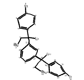 [Li][C](CC(C)CC)(c1ccc(CC)cc1)c1cccc([C]([Li])(CC(C)CC)c2ccc(CC)cc2)c1